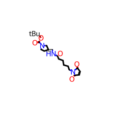 CC(C)(C)OC(=O)N1CC[C@@H](CNC(=O)CCCCCN2C(=O)C=CC2=O)C1